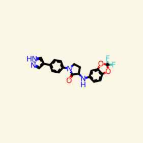 O=C1C(Nc2ccc3c(c2)OC(F)(F)O3)CCN1c1ccc(-c2cn[nH]c2)cc1